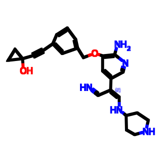 N=C/C(=C\NC1CCNCC1)c1cnc(N)c(OCc2cccc(C#CC3(O)CC3)c2)c1